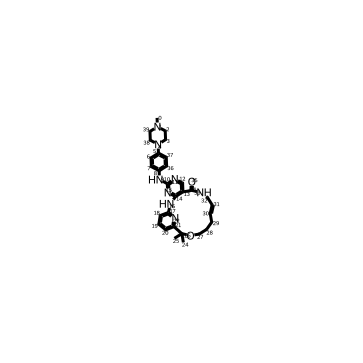 CN1CCN(c2ccc(Nc3ncc4c(n3)Nc3cccc(n3)C(C)(C)OCCC/C=C/CNC4=O)cc2)CC1